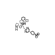 O=C(CCc1ncc(-c2ccc([N+](=O)[O-])cc2)cn1)NC(Cc1cccc(Cl)c1Cl)[C@H]1CCNC1